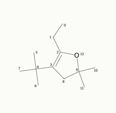 CCC1=C(C(C)(C)C)CC(C)(C)O1